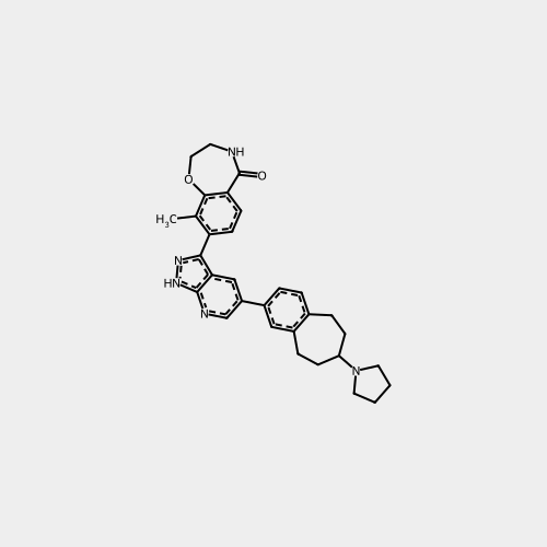 Cc1c(-c2n[nH]c3ncc(-c4ccc5c(c4)CCC(N4CCCC4)CC5)cc23)ccc2c1OCCNC2=O